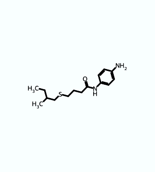 CCC(C)CSCCCC(=O)Nc1ccc(N)cc1